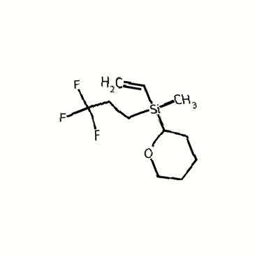 C=C[Si](C)(CCC(F)(F)F)C1CCCCO1